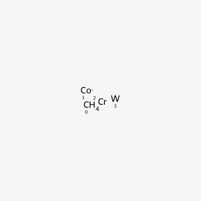 C.[Co].[Cr].[W]